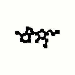 [2H]OC[C@H]1O[C@@H](n2cnc3c(Cl)ncnc32)C(=O)[C@H]1O[3H]